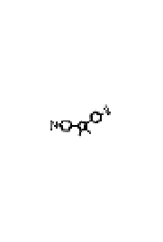 CC1=C(c2ccc(N(C)C)cc2)CC(c2ccc(N(C)C)cc2)=C1C